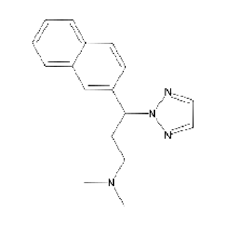 CN(C)CCC(c1ccc2ccccc2c1)n1nccn1